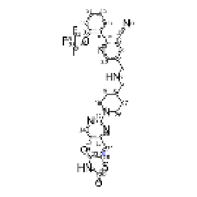 N#Cc1cc(CNCC2CCN(c3nccc(/C=C4/SC(=O)NC4=O)n3)CC2)cnc1-c1ccccc1OC(F)(F)F